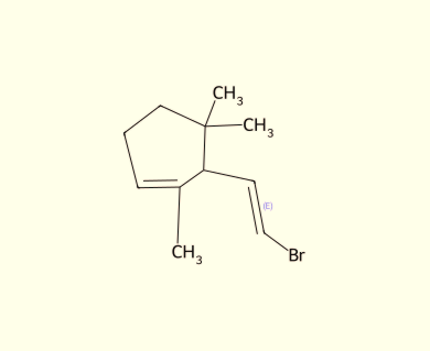 CC1=CCCC(C)(C)C1/C=C/Br